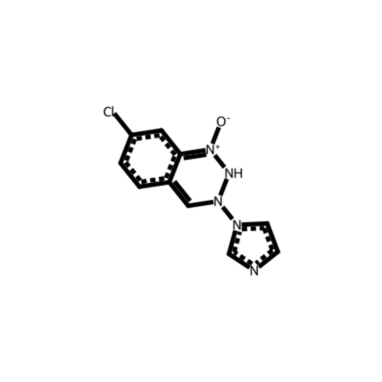 [O-][N+]1=c2cc(Cl)ccc2=CN(n2ccnc2)N1